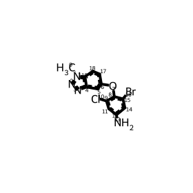 Cn1nnc2cc(Oc3c(Cl)cc(N)cc3Br)ccc21